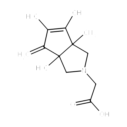 C=C1C(C)=C(C)C2(C)CN(CC(=O)O)CC12C